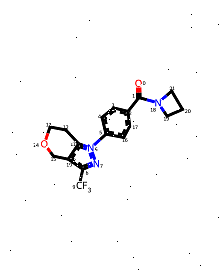 O=C(c1ccc(-n2nc(C(F)(F)F)c3c2CCOC3)cc1)N1CCC1